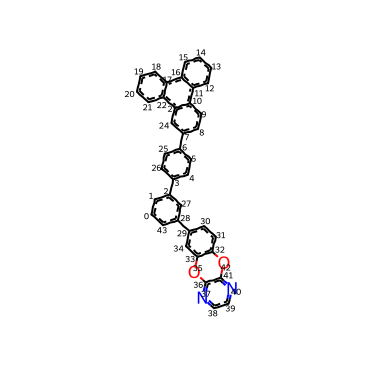 c1cc(-c2ccc(-c3ccc4c5ccccc5c5ccccc5c4c3)cc2)cc(-c2ccc3c(c2)Oc2nccnc2O3)c1